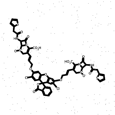 O=C(Cc1cccs1)NC1C(=O)N2C(C(=O)O)=C(C=CCOc3cc4c(cc3Cl)C3(OC(=O)c5ccccc53)c3cc(Cl)c(OCC=CC5=C(C(=O)O)N6C(=O)C(NC(=O)Cc7cccs7)C6[S+]([O-])C5)cc3O4)C[S+]([O-])C12